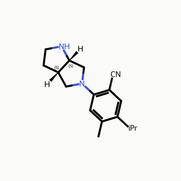 Cc1cc(N2C[C@@H]3CCN[C@@H]3C2)c(C#N)cc1C(C)C